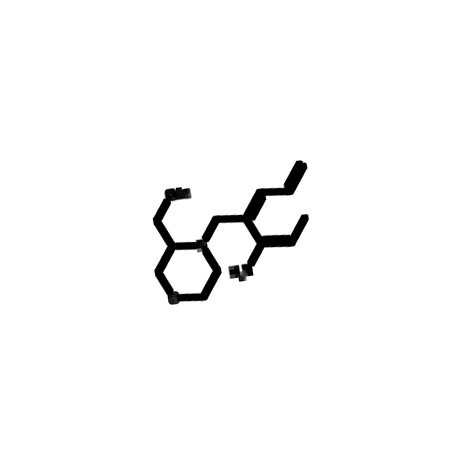 C=C/C=C(CN1CCOCC1COC(C)=O)\C(N)=C/C